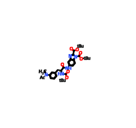 CC(=O)N(C)c1cccc(C[C@H](NC(=O)OC(C)(C)C)C(=O)Nc2ccc3c(c2)nc(C(=O)OC(C)(C)C)n3C(=O)OC(C)(C)C)c1